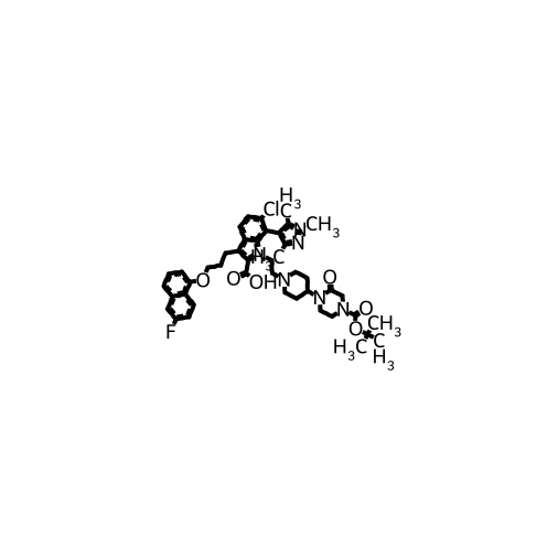 Cc1nn(C)c(C)c1-c1c(Cl)ccc2c(CCCOc3cccc4cc(F)ccc34)c(C(=O)O)n(CCN3CCC(N4CCN(C(=O)OC(C)(C)C)CC4=O)CC3)c12